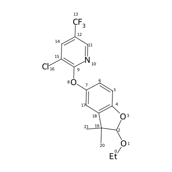 CCOC1Oc2ccc(Oc3ncc(C(F)(F)F)cc3Cl)cc2C1(C)C